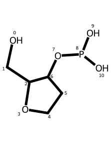 OCC1OCCC1OP(O)O